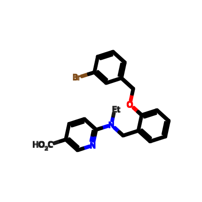 CCN(Cc1ccccc1OCc1cccc(Br)c1)c1ccc(C(=O)O)cn1